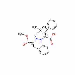 COC(=O)[C@H](Cc1ccccc1)N(CC(C)(C)C)N[C@@H](Cc1ccccc1)C(=O)O